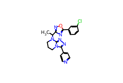 CC(c1noc(-c2cccc(Cl)c2)n1)N1CCCn2c(-c3ccncc3)nnc21